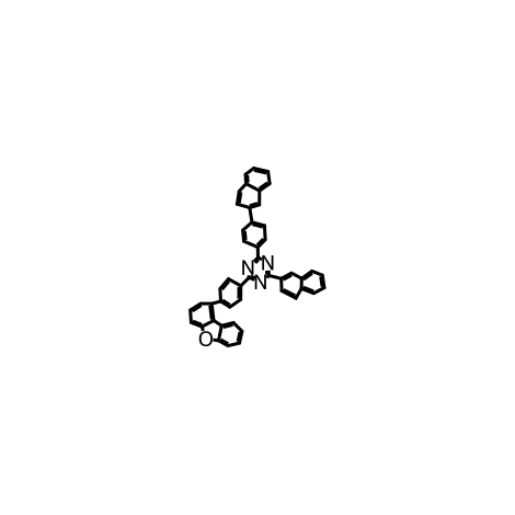 c1ccc2cc(-c3ccc(-c4nc(-c5ccc(-c6cccc7oc8ccccc8c67)cc5)nc(-c5ccc6ccccc6c5)n4)cc3)ccc2c1